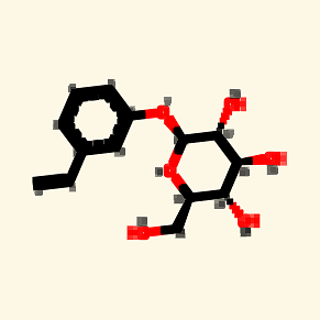 C=Cc1cccc(O[C@@H]2O[C@H](CO)[C@@H](O)[C@H](O)[C@H]2O)c1